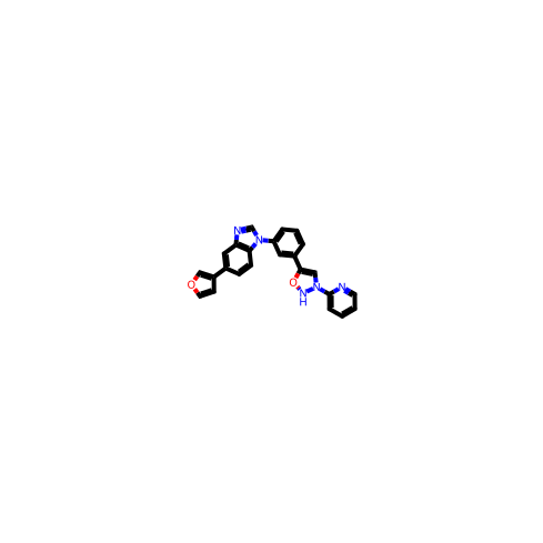 C1=C(c2cccc(-n3cnc4cc(-c5ccoc5)ccc43)c2)ONN1c1ccccn1